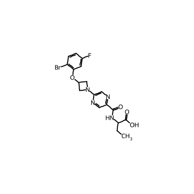 CCC(NC(=O)c1cnc(N2CC(Oc3cc(F)ccc3Br)C2)cn1)C(=O)O